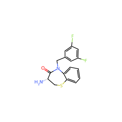 N[C@H]1CSc2ccccc2N(Cc2cc(F)cc(F)c2)C1=O